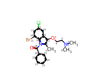 Cc1c(OCCN(C)C)c2cc(Cl)cc(Br)c2n1C(=O)c1ccccc1